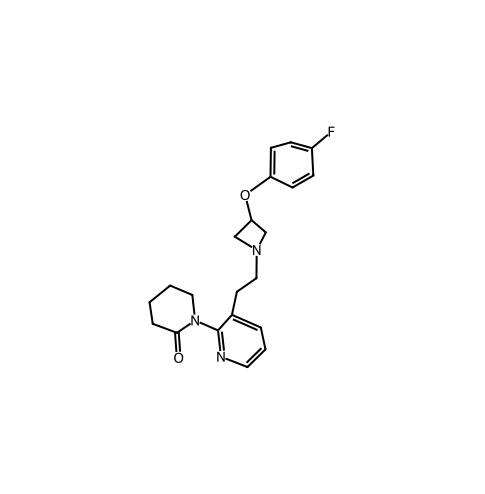 O=C1CCCCN1c1ncccc1CCN1CC(Oc2ccc(F)cc2)C1